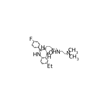 CCc1ccc2c(c1)[C@H]1O[C@@H](CNCCN(C)C)CC[C@H]1[C@H](c1ccc(F)cc1)N2